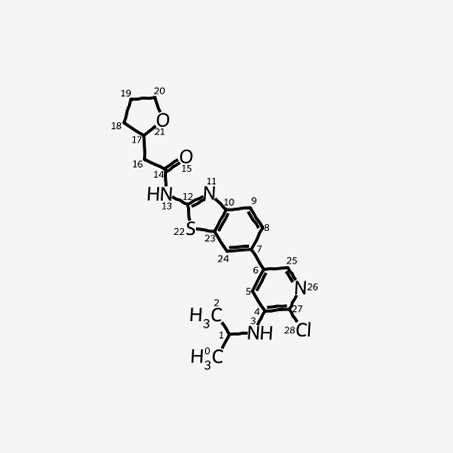 CC(C)Nc1cc(-c2ccc3nc(NC(=O)CC4CCCO4)sc3c2)cnc1Cl